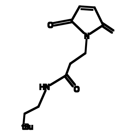 C=C1C=CC(=O)N1CCC(=O)NCCC(C)(C)C